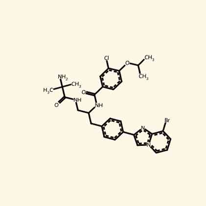 CC(C)Oc1ccc(C(=O)NC(CNC(=O)C(C)(C)N)Cc2ccc(-c3cn4cccc(Br)c4n3)cc2)cc1Cl